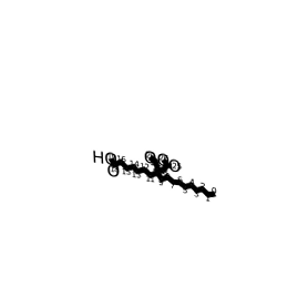 CCCCCCCCCCCCCCCCCC(=O)O.O=C1CCC(=O)O1